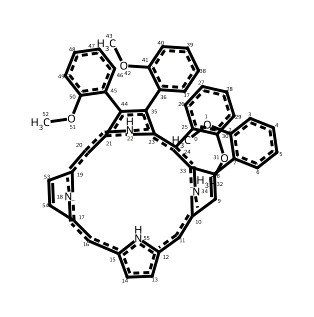 COc1ccccc1C1=Cc2cc3ccc(cc4nc(cc5[nH]c(c(-c6ccccc6OC)c1n2)c(-c1ccccc1OC)c5-c1ccccc1OC)C=C4)[nH]3